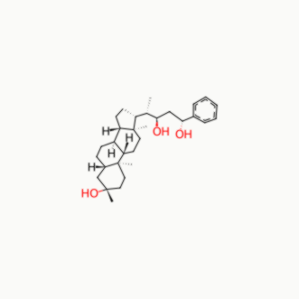 C[C@H]([C@H](O)C[C@@H](O)c1ccccc1)[C@H]1CC[C@H]2[C@@H]3CC[C@H]4C[C@@](C)(O)CC[C@]4(C)[C@H]3CC[C@]12C